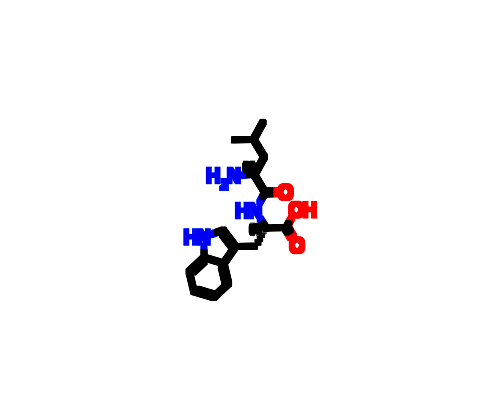 CC(C)C[C@H](N)C(=O)N[C@@H](Cc1c[nH]c2ccccc12)C(=O)O